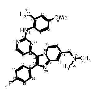 COc1ccc(Nc2nccc(-c3c(-c4ccc(F)cc4)nc4cc(CN(C)C)ccn34)n2)c(C)c1